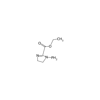 CCOC(=O)C1=NCCN1P